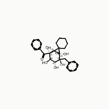 O=C(c1ccccc1)[C@]1(O)[C@H](O)[C@@H](O)[C@@](O)(Cc2ccccc2)[C@]2(O)C3(CCCCC3)[C@@]21O